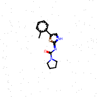 Cc1ccccc1-c1c[nH]/c(=N/C(=O)N2CCCC2)s1